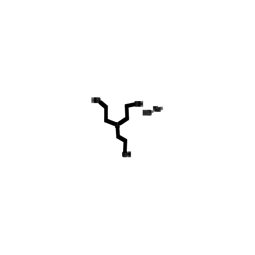 OCCN(CCO)CCO.[Na+].[OH-]